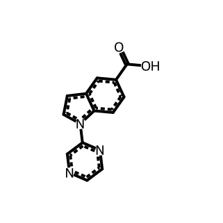 O=C(O)c1ccc2c(ccn2-c2cnccn2)c1